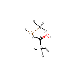 C[S+](CC(=O)C(C)(C)C)C(C)(C)C